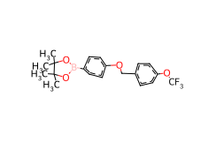 CC1(C)OB(c2ccc(OCc3ccc(OC(F)(F)F)cc3)cc2)OC1(C)C